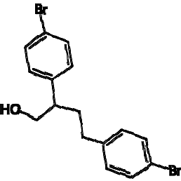 OCC(CCc1ccc(Br)cc1)c1ccc(Br)cc1